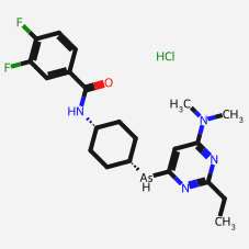 CCc1nc([AsH][C@H]2CC[C@@H](NC(=O)c3ccc(F)c(F)c3)CC2)cc(N(C)C)n1.Cl